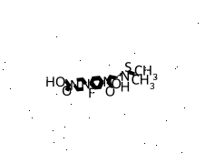 CC(C)C(=S)NC[C@H]1CN(c2ccc(N3CCN(C(=O)CO)CC3)c(F)c2)C(=O)O1